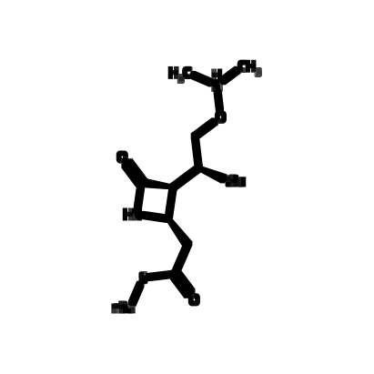 CCCCSC(=O)C[C@H]1NC(=O)[C@H]1[C@@H](CO[SiH](C)C)C(C)(C)C